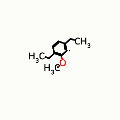 CCc1[c]c(OC)c(CC)cc1